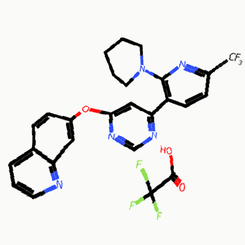 FC(F)(F)c1ccc(-c2cc(Oc3ccc4cccnc4c3)ncn2)c(N2CCCCC2)n1.O=C(O)C(F)(F)F